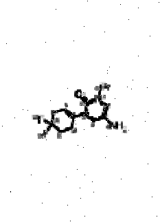 CC(C)n1cc(N)cc(C2=CCC(F)(F)CC2)c1=O